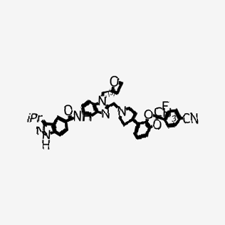 CC(C)c1n[nH]c2ccc(C(=O)Nc3ccc4c(c3)nc(CN3CCC(c5cccc6c5OC(C)(c5ccc(C#N)cc5F)O6)CC3)n4C[C@@H]3CCO3)cc12